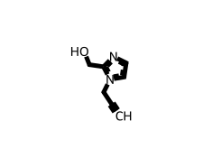 C#CCn1ccnc1CO